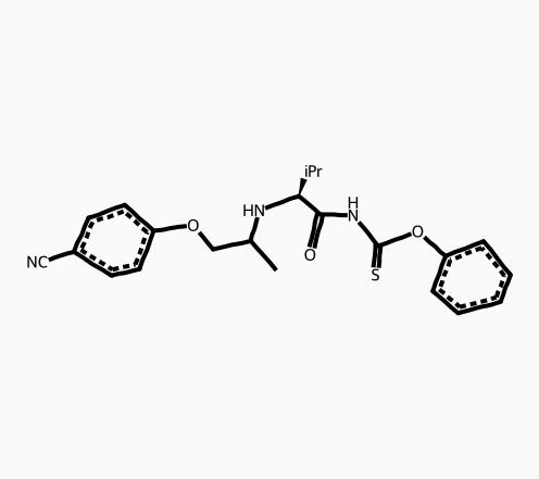 CC(COc1ccc(C#N)cc1)N[C@H](C(=O)NC(=S)Oc1ccccc1)C(C)C